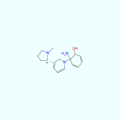 CN1CCC[C@H]1C1=CC=CN(C2(N)C=CC=CC2O)C1